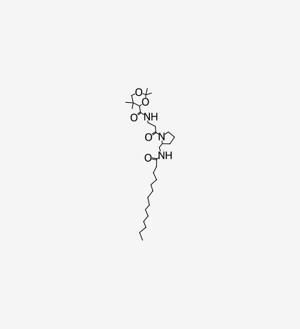 CCCCCCCCCCCCCC(=O)NCC1CCCN1C(=O)CCNC(=O)C1OC(C)(C)OCC1(C)C